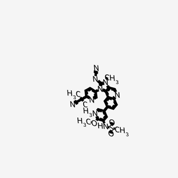 COc1ncc(-c2ccc3ncc4c(c3c2)n(-c2ccc(C(C)(C)C#N)nc2)c(=NC#N)n4C)cc1NS(C)(=O)=O